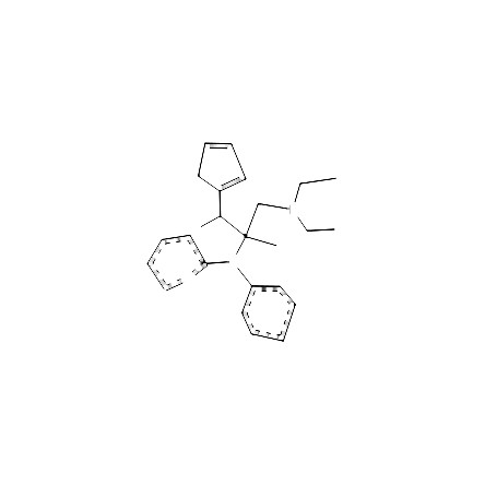 CCP(CC)CC(C)(C(C)C1=CC=CC1)P(c1ccccc1)c1ccccc1